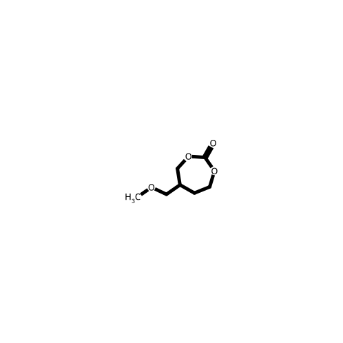 COCC1CCOC(=O)OC1